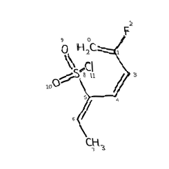 C=C(F)/C=C\C(=C/C)S(=O)(=O)Cl